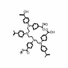 C=C(C)c1ccc(N(CCN(CCN(c2ccc(C(=C)C)cc2)c2ccc(C(=O)O)cc2)c2ccc(C(=O)N=O)cc2)CCN(c2ccc(C(=C)O)cc2)c2ccc(C(=O)N=O)cc2)cc1